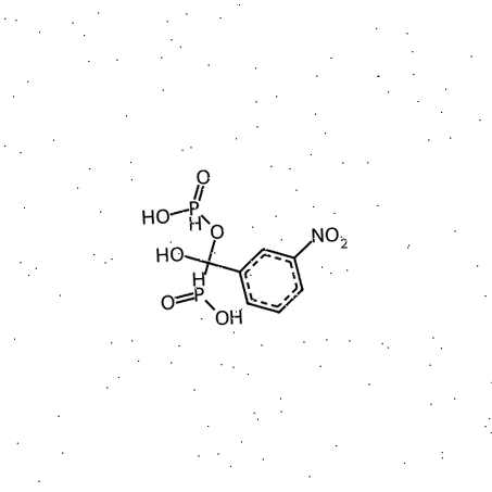 O=[N+]([O-])c1cccc(C(O)(O[PH](=O)O)[PH](=O)O)c1